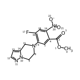 COC(=O)c1cc(N2CCn3nccc3C2)c(F)cc1[N+](=O)[O-]